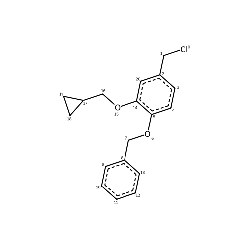 ClCc1ccc(OCc2ccccc2)c(OCC2CC2)c1